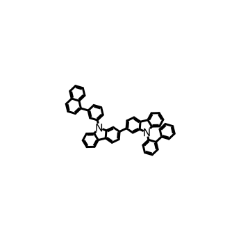 c1ccc(-c2ccccc2-n2c3ccccc3c3ccc(-c4ccc5c6ccccc6n(-c6cccc(-c7cccc8ccccc78)c6)c5c4)cc32)cc1